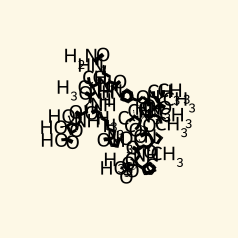 CC[C@H](C)[C@@H]([C@@H](CC(=O)N1CCC[C@H]1[C@H](OC)[C@@H](C)C(=O)N[C@H](C)[C@@H](OS(=O)(=O)O)c1ccccc1)OC)N(C)C(=O)[C@@H](NC(=O)[C@H](C(C)C)N(C)C(=O)OCc1ccc(NC(=O)[C@H](CCCNC(N)=O)NC(=O)[C@@H](NC(=O)[C@H](CCC(=O)NC2O[C@H](C(=O)O)[C@@H](O)[C@H]2O)NC(=O)CCCCCN2C(=O)C=CC2=O)C(C)C)cc1)C(C)C